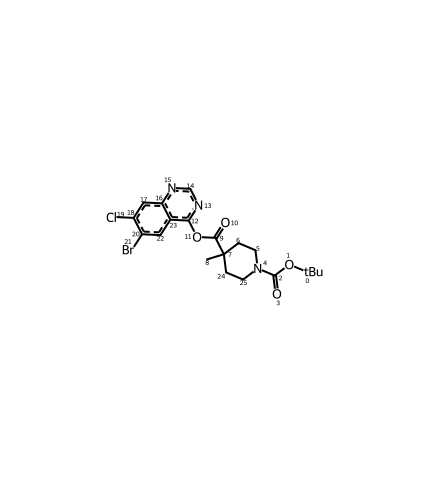 CC(C)(C)OC(=O)N1CCC(C)(C(=O)Oc2ncnc3cc(Cl)c(Br)cc23)CC1